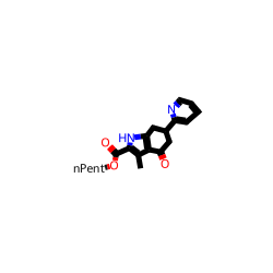 CCCCCOC(=O)c1[nH]c2c(c1C)C(=O)CC(c1ccccn1)C2